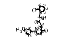 Cn1cnc(-c2ccc(=O)n(CC(=O)NCc3ccccc3Cl)n2)c1